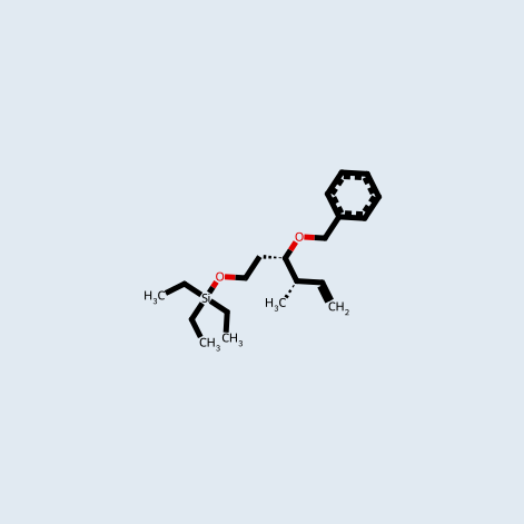 C=C[C@H](C)[C@H](CCO[Si](CC)(CC)CC)OCc1ccccc1